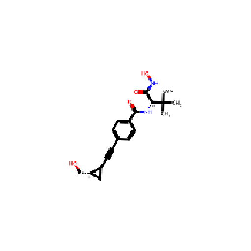 CSC(C)(C)[C@H](NC(=O)c1ccc(C#CC2C[C@@H]2CO)cc1)C(=O)NO